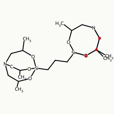 CC1CN2CC(C)O[Si](CCC[Si]34OC(C)CN(CC(C)O3)CC(C)O4)(O1)OC(C)C2